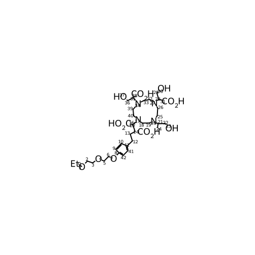 CCOCCOCCOc1ccc(CCC[C@@H](C(=O)O)N2CCN(C(CO)C(=O)O)CCN(C(CO)C(=O)O)CCN(C(CO)C(=O)O)CC2)cc1